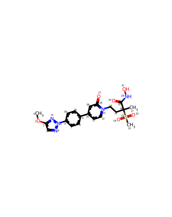 COc1cnn(-c2ccc(-c3ccn(CCC(C)(C(=O)NO)S(C)(=O)=O)c(=O)c3)cc2)n1